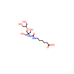 O=C(O)CCCCCNC(=O)NC(CO)(CO)COC(CO)CO